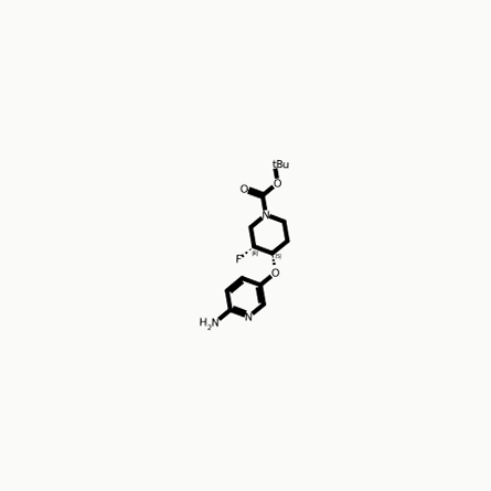 CC(C)(C)OC(=O)N1CC[C@H](Oc2ccc(N)nc2)[C@H](F)C1